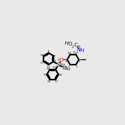 C[C@H]1CC[C@@H](O[Si](c2ccccc2)(c2ccccc2)C(C)(C)C)C[C@@H]1NC(=O)O